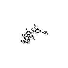 COC[C@@]1(C)SC(N)=N[C@](C)(c2cc(NC(=O)c3ncc(OCC(F)(F)F)nc3C)cc(F)c2F)C1C